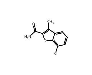 Cc1c(C(N)=O)oc2c(Cl)cccc12